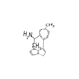 Cc1ccc(C2=CCc3ccsc32)c(C(C)N)c1